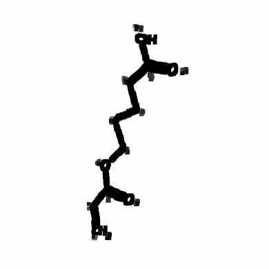 C=CC(=O)OCCCCC(=O)O